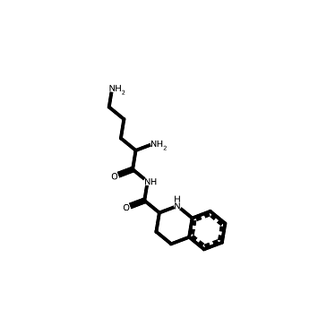 NCCCC(N)C(=O)NC(=O)C1CCc2ccccc2N1